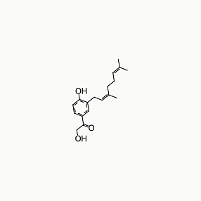 CC(C)=CCCC(C)=CCc1cc(C(=O)CO)ccc1O